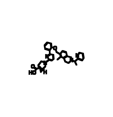 Cc1c(COc2ccccc2-c2cccc(N3CC[C@@]4(C(=O)O)C[C@H]4C3)n2)ccc2c1CCN(C(C)c1ccccn1)C2